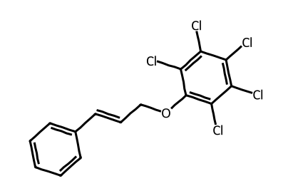 Clc1c(Cl)c(Cl)c(OCC=Cc2ccccc2)c(Cl)c1Cl